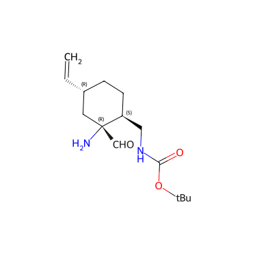 C=C[C@@H]1CC[C@@H](CNC(=O)OC(C)(C)C)[C@@](N)(C=O)C1